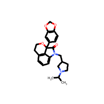 CC(C)N1CCC(CN2C(=O)C3(c4ccc5c(c4)OCO5)OCCc4cccc2c43)C1